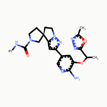 Cc1nnc(C(C)Oc2cc(-c3cc4n(n3)CC[C@@]43CCN(C(=O)NC(C)C)C3)cnc2N)o1